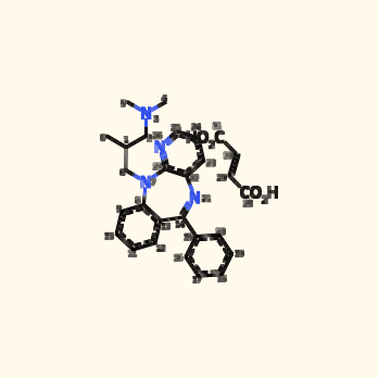 CC(CN(C)C)CN1c2ccccc2C(c2ccccc2)=Nc2cccnc21.O=C(O)C=CC(=O)O